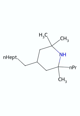 CCCCCCCCC1CC(C)(C)NC(C)(CCC)C1